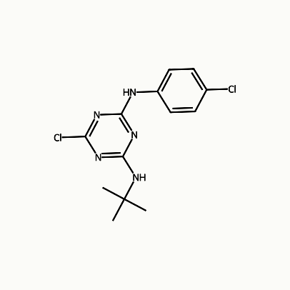 CC(C)(C)Nc1nc(Cl)nc(Nc2ccc(Cl)cc2)n1